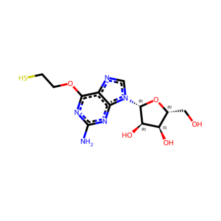 Nc1nc(OCCS)c2ncn([C@@H]3O[C@H](CO)[C@@H](O)[C@H]3O)c2n1